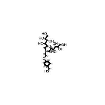 OC[C@@H](O)[C@@H](O)[C@H](O)CCN(CCOc1ccc(CS)cc1)C[C@@H](O)[C@@H](O)[C@H](O)[C@H](O)CO